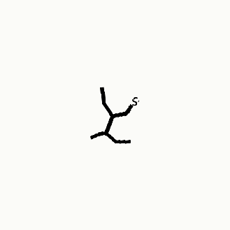 CCC(C)C(CC)C[S]